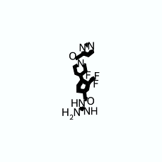 N=C(N)NC(=O)c1ccc(C2CCN(C(=O)c3ccncn3)CC2)c(C(F)(F)F)c1